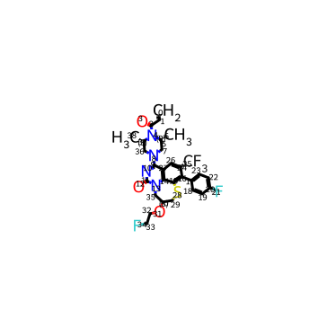 C=CC(=O)N1[C@H](C)CN(c2nc(=O)n3c4c(c(-c5ccc(F)cc5)c(C(F)(F)F)cc24)SC[C@@H](OCCF)C3)C[C@@H]1C